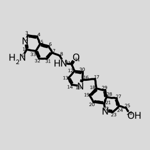 Nc1nccc2cc(CNC(=O)c3ccnc(Cc4ccc5ncc(CO)cc5c4)c3)ccc12